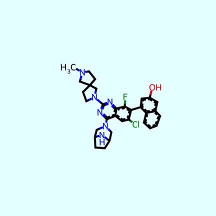 CN1CCC2(CCN(c3nc(N4CC5CCC(C4)N5)c4cc(Cl)c(-c5cc(O)cc6ccccc56)c(F)c4n3)C2)C1